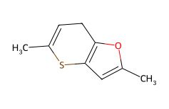 CC1=CCc2oc(C)cc2S1